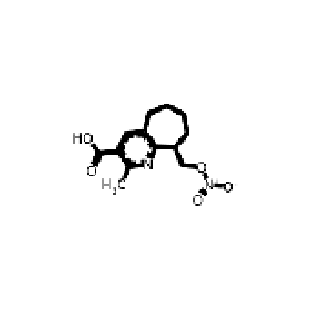 Cc1nc2c(cc1C(=O)O)CCCCC2CO[N+](=O)[O-]